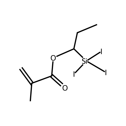 C=C(C)C(=O)OC(CC)[Si](I)(I)I